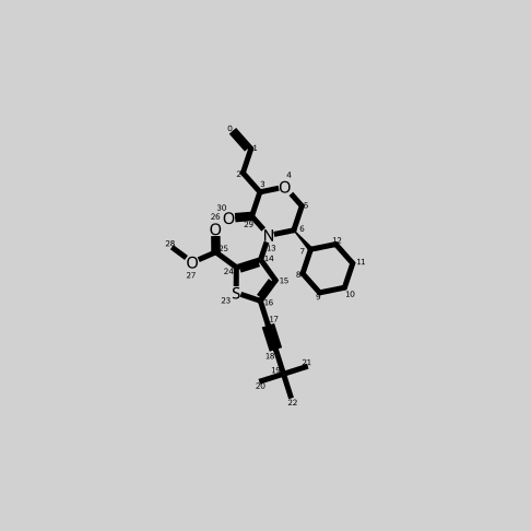 C=CCC1OC[C@@H](C2CCCCC2)N(c2cc(C#CC(C)(C)C)sc2C(=O)OC)C1=O